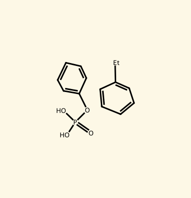 CCc1ccccc1.O=P(O)(O)Oc1ccccc1